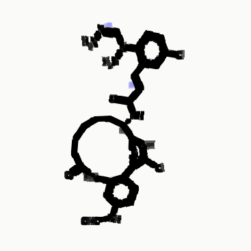 N/N=C\N(N)c1ccc(Cl)cc1/C=C/C(=O)N[C@H]1CCCCCC(=O)Nc2cc(NC=O)ccc2-c2nc1[nH]c2Cl